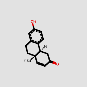 CCCC[C@]12C=CC(=O)C[C@@H]1c1ccc(O)cc1CC2